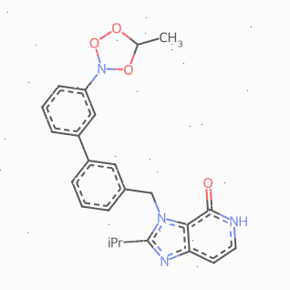 CC1OON(c2cccc(-c3cccc(Cn4c(C(C)C)nc5cc[nH]c(=O)c54)c3)c2)O1